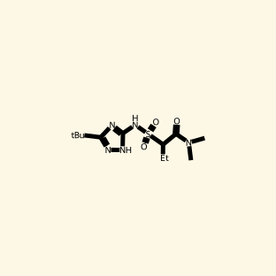 CCC(C(=O)N(C)C)S(=O)(=O)Nc1nc(C(C)(C)C)n[nH]1